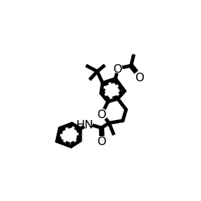 CC(=O)Oc1cc2c(cc1C(C)(C)C)OC(C)(C(=O)Nc1ccccc1)CC2